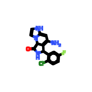 NC1=C2C(c3cc(F)ccc3Cl)NC(=O)C2N2C=CNC2=C1